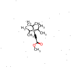 COC(=O)C#C[Si](C(C)C)(C(C)C)C(C)C